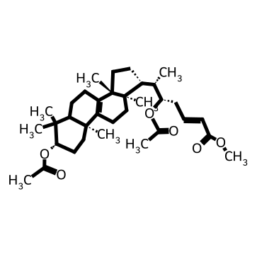 COC(=O)/C=C/C[C@H](OC(C)=O)[C@@H](C)[C@H]1CC[C@@]2(C)C3=C(CC[C@]12C)[C@@]1(C)CC[C@H](OC(C)=O)C(C)(C)C1CC3